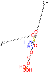 CCCCCCCCCCCCCCCCOC[C@H](CSC[C@H](N)C(=O)NCCOCCOCCOCCP(=O)(O)O)OCCCCCCCCCCCCCCCC